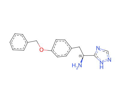 N[C@@H](Cc1ccc(OCc2ccccc2)cc1)c1ncn[nH]1